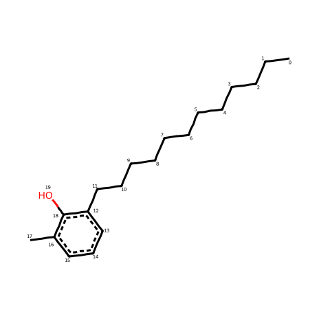 CCCCCCCCCCCCc1cccc(C)c1O